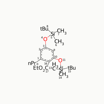 CCCc1cc(O[Si](C)(C)C(C)(C)C)cc(O[Si](C)(C)C(C)(C)C)c1C(=O)OCC